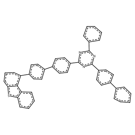 c1ccc(-c2ccc(-c3nc(-c4ccccc4)nc(-c4ccc(-c5ccc(-c6cccc7sc8ccccc8c67)cc5)cc4)n3)cc2)cc1